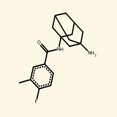 Cc1cc(C(=O)NC23CC4CC(CC(N)(C4)C2)C3)ccc1F